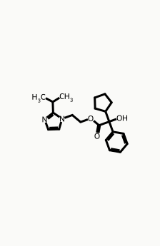 CC(C)c1nccn1CCOC(=O)C(O)(c1ccccc1)C1CCCC1